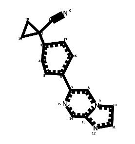 N#CC1(c2ccc(-c3cn4ccnc4cn3)cc2)CC1